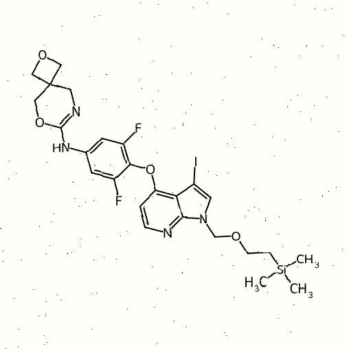 C[Si](C)(C)CCOCn1cc(I)c2c(Oc3c(F)cc(NC4=NCC5(COC5)CO4)cc3F)ccnc21